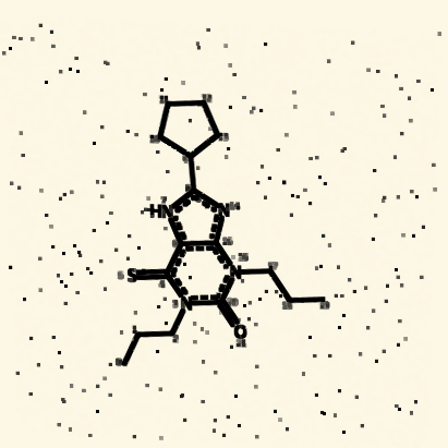 CCCn1c(=S)c2[nH]c(C3CCCC3)nc2n(CCC)c1=O